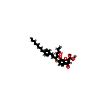 CCCCCCCCc1ccc(C=C[C@H](Sc2ccc3c(=O)cc(C(=O)OC)oc3c2)[C@@H](O)CCCC)cc1